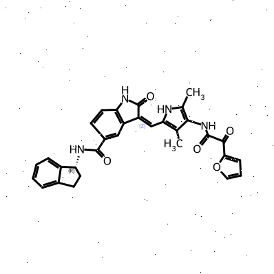 Cc1[nH]c(/C=C2\C(=O)Nc3ccc(C(=O)N[C@@H]4CCc5ccccc54)cc32)c(C)c1NC(=O)C(=O)c1ccco1